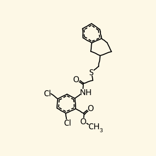 COC(=O)c1c(Cl)cc(Cl)cc1NC(=O)CSCC1CCc2ccccc2C1